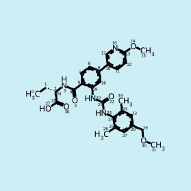 CC[C@H](NC(=O)c1ccc(-c2ccc(OC)nc2)cc1NC(=O)Nc1c(C)cc(COC)cc1C)C(=O)O